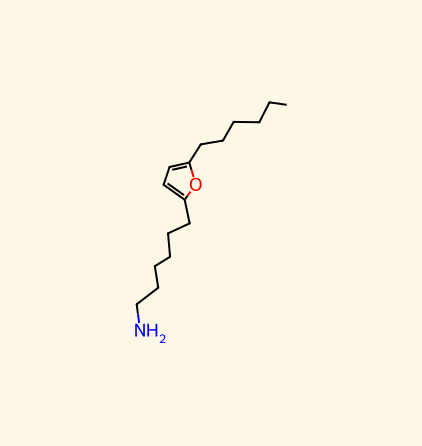 CCCCCCc1ccc(CCCCCCN)o1